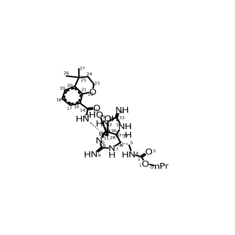 CCCOC(=O)NC[C@@H]1NC(=N)N2C[C@H](NC(=O)c3cccc4c3OCCC4(C)C)C(O)(O)[C@@]23NC(=N)N[C@@H]13